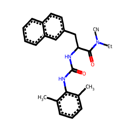 CCN(C#N)C(=O)C(Cc1ccc2ccccc2c1)NC(=O)Nc1c(C)cccc1C